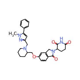 Cn1nc(CN2CCCCC2COc2ccc3c(c2)CN(C2CCC(=O)NC2=O)C3=O)cc1-c1ccccc1